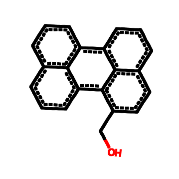 OCc1ccc2cccc3c4cccc5cccc(c1c23)c54